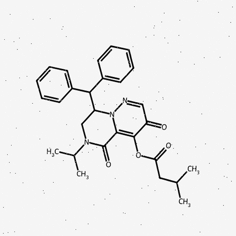 CC(C)CC(=O)Oc1c2n(ncc1=O)C(C(c1ccccc1)c1ccccc1)CN(C(C)C)C2=O